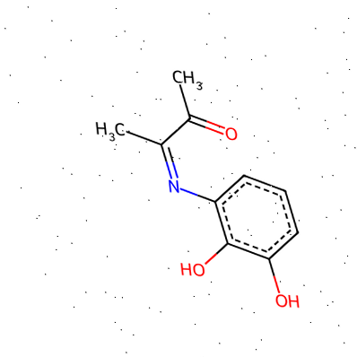 CC(=O)C(C)=Nc1cccc(O)c1O